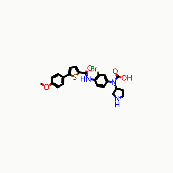 COc1ccc(-c2ccc(C(=O)Nc3ccc(N(C(=O)O)C4CCNC4)cc3Br)s2)cc1